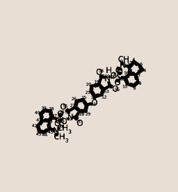 CN(C)c1cccc2cccc(S(=O)(=O)ON3C(=O)c4ccc(Oc5ccc6c(c5)C(=O)N(OS(=O)(=O)c5cccc7cccc(N(C)C)c57)C6=O)cc4C3=O)c12